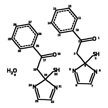 O.O=C(CC1(S)N=CC=N1)c1ccccc1.O=C(CC1(S)N=CC=N1)c1ccccc1